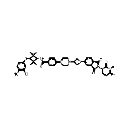 CN1C(=O)CCC(N2C(=O)c3ccc(N4CC(N5CCN(c6ccc(C(=O)N[C@H]7C(C)(C)[C@H](Oc8ccc(C#N)c(Cl)c8)C7(C)C)cc6)CC5)C4)cc3C2=O)C1=O